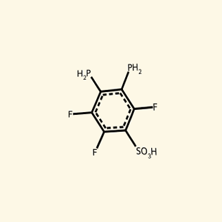 O=S(=O)(O)c1c(F)c(F)c(P)c(P)c1F